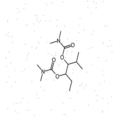 CCC(OC(=O)N(C)C)C(OC(=O)N(C)C)C(C)C